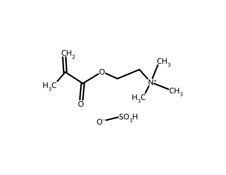 C=C(C)C(=O)OCC[N+](C)(C)C.O=S(=O)([O-])O